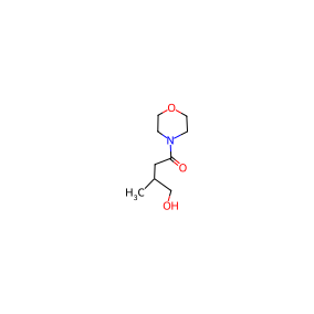 CC(CO)CC(=O)N1CCOCC1